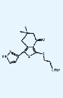 COCCSc1sc(-c2cc[nH]n2)c2c1C(=O)CC(C)(C)C2